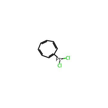 [Cl][Pt]([Cl])[C]1=CC=CC=CC=C1